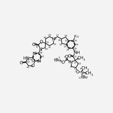 CC(C)(C)OC(=O)N1C[C@H](O[Si](C)(C)C(C)(C)C)C[C@@]1(C)C(=O)Nc1cc(F)c2c(c1)CC(CN1CCC3(CC1)CN(c1cnc4c(n1)NC(=O)CO4)C(=O)O3)C2